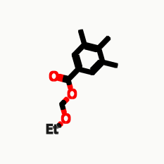 CCOCOC(=O)c1cc(C)c(C)c(C)c1